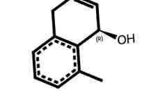 Cc1cccc2c1[C@H](O)C=CC2